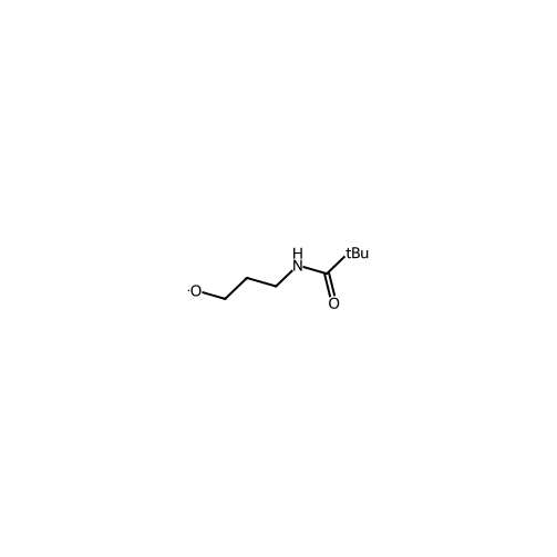 CC(C)(C)C(=O)NCCC[O]